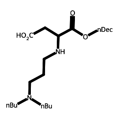 CCCCCCCCCCOC(=O)C(CC(=O)O)NCCCN(CCCC)CCCC